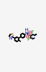 C=C/C(F)=C(\C(F)=C/C)S(=O)(=O)Nc1ccc(-c2cc(-c3nccs3)ccc2C)cc1